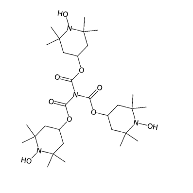 CC1(C)CC(OC(=O)N(C(=O)OC2CC(C)(C)N(O)C(C)(C)C2)C(=O)OC2CC(C)(C)N(O)C(C)(C)C2)CC(C)(C)N1O